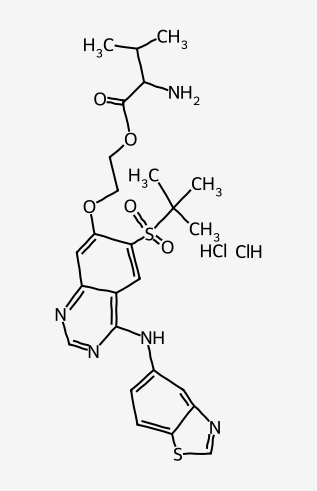 CC(C)C(N)C(=O)OCCOc1cc2ncnc(Nc3ccc4scnc4c3)c2cc1S(=O)(=O)C(C)(C)C.Cl.Cl